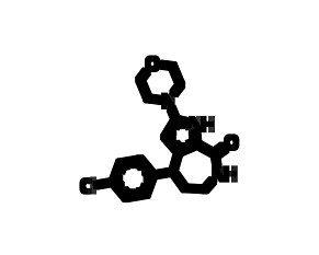 O=C1NCCC(c2ccc(Cl)cc2)c2cc(N3CCOCC3)[nH]c21